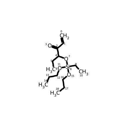 C=CC(=O)C(CC)O[Si](CC)(OCCC)OCCC